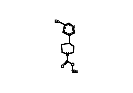 CCc1cncc(C2CCN(C(=O)OC(C)(C)C)CC2)c1